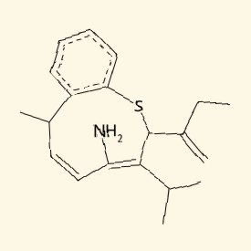 C=C(CC)C1Sc2ccccc2C(C)/C=C\C(N)=C\1C(C)C